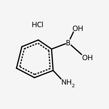 Cl.Nc1ccccc1B(O)O